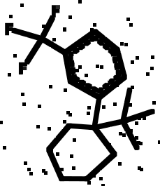 CC(C)(C)C1(c2cccc(C(F)(F)F)c2)CCCCC1